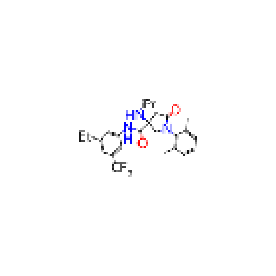 CCc1cc(NC(=O)C2(NC(C)C)CC(=O)N(c3c(C)cccc3C)C2)cc(C(F)(F)F)c1